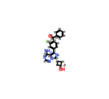 C[C@]1(O)C[C@H](c2nc(-c3ccc(C(=O)c4ccccc4)c(F)c3)c3c(N)ncnn32)C1